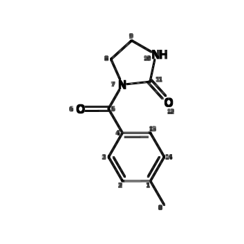 Cc1ccc(C(=O)N2CCNC2=O)cc1